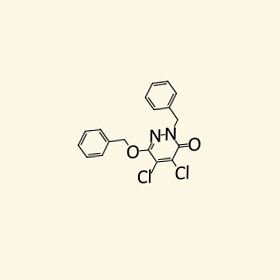 O=c1c(Cl)c(Cl)c(OCc2ccccc2)nn1Cc1ccccc1